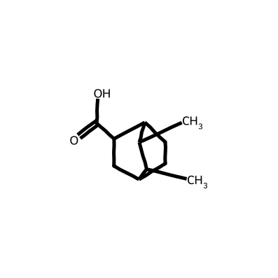 CC1C2CCC(C(C(=O)O)C2)C1C